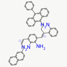 Nc1ccccc1/C(=C/c1ccc(/C=C\Cc2ccc3ccccc3c2)c(N)c1N)CCc1c2ccccc2c(-c2ccccc2)c2ccccc12